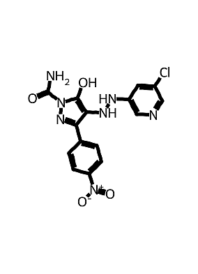 NC(=O)n1nc(-c2ccc([N+](=O)[O-])cc2)c(NNc2cncc(Cl)c2)c1O